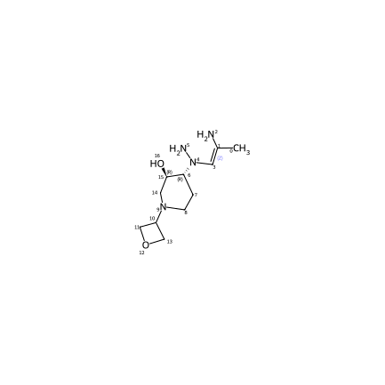 C/C(N)=C/N(N)[C@@H]1CCN(C2COC2)C[C@H]1O